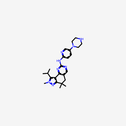 CC(C)c1c2c(nn1C)C(C)(C)Cc1cnc(Nc3ccc(N4CCNCC4)cn3)nc1-2